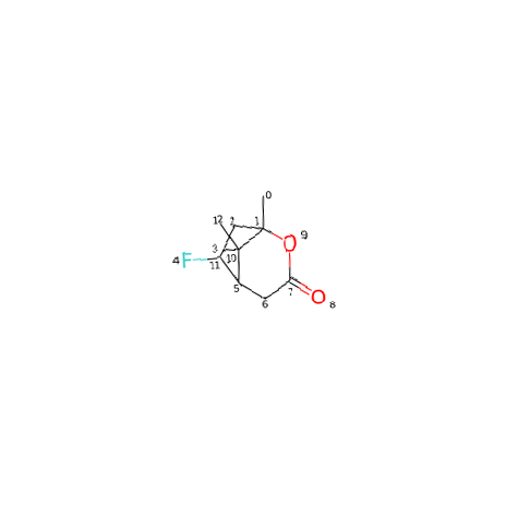 CC12CC(F)C(CC(=O)O1)C2(C)C